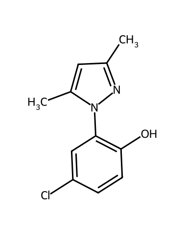 Cc1cc(C)n(-c2cc(Cl)ccc2O)n1